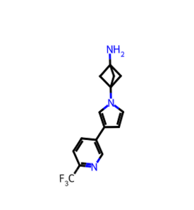 NC12CC(n3ccc(-c4ccc(C(F)(F)F)nc4)c3)(C1)C2